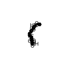 O=C1CCC(N2C(=O)c3cc(F)c(N4CCC5(CCC(N6CCC(S(=O)(=O)N7CCC(NOC(=O)c8ccccc8)CC7)CC6)C5)C4)cc3C2=O)C(=O)N1